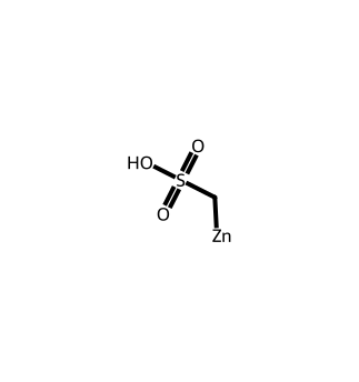 O=S(=O)(O)[CH2][Zn]